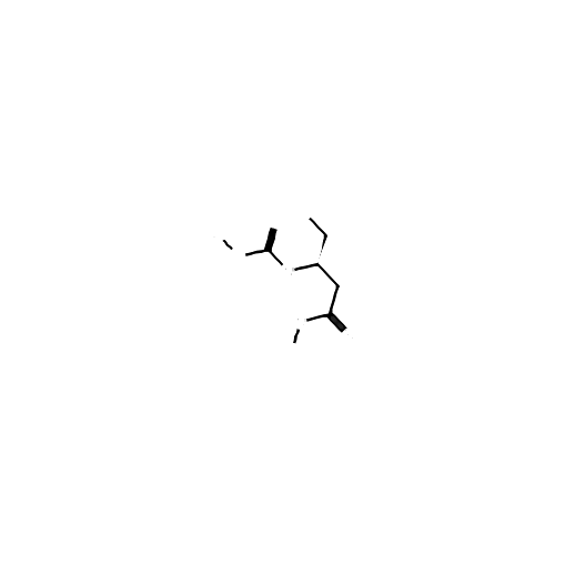 CC(C)C[C@@H](CC(=N)NO)NC(=O)OC(C)(C)C